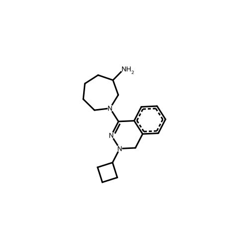 NC1CCCCN(C2=NN(C3CCC3)Cc3ccccc32)C1